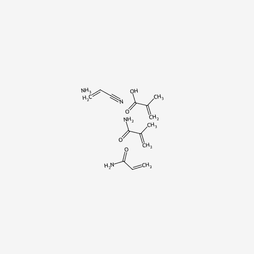 C=C(C)C(=O)O.C=C(C)C(N)=O.C=CC#N.C=CC(N)=O.N